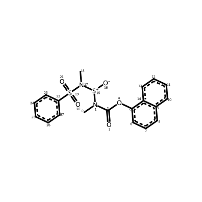 CN(C(=O)Oc1cccc2ccccc12)[S+]([O-])N(C)S(=O)(=O)c1ccccc1